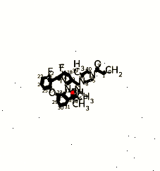 C=CC(=O)N1CCN(c2nc(=O)n3c4nc(c(F)cc24)c2c(F)cccc2oc2cccc(C(C)(C)C)c23)[C@@H](C)C1